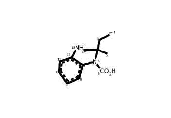 CC(C)(CF)N(C(=O)O)c1ccccc1N